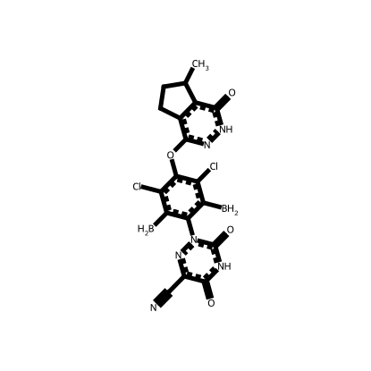 Bc1c(Cl)c(Oc2n[nH]c(=O)c3c2CCC3C)c(Cl)c(B)c1-n1nc(C#N)c(=O)[nH]c1=O